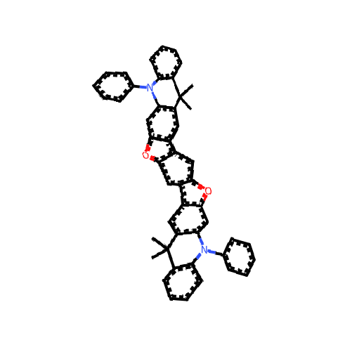 CC1(C)c2ccccc2N(c2ccccc2)c2cc3oc4cc5c(cc4c3cc21)oc1cc2c(cc15)C(C)(C)c1ccccc1N2c1ccccc1